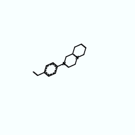 CCc1ccc(N2CCN3CCCCC3C2)cc1